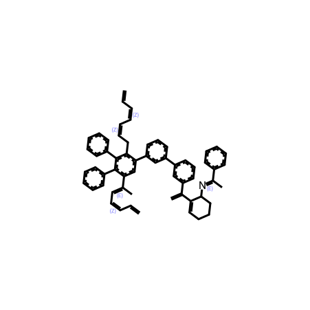 C=C/C=C\C=C/Cc1c(-c2cccc(-c3cccc(C(=C)C4=CCCCC4/N=C(\C)c4ccccc4)c3)c2)cc(/C(C)=C/C=C\C=C)c(-c2ccccc2)c1-c1ccccc1